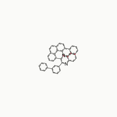 c1ccc(-c2cccc(-c3nc4ccccc4nc3-c3cccc4ccc5ccc6c7ccccc7ccc6c5c34)c2)cc1